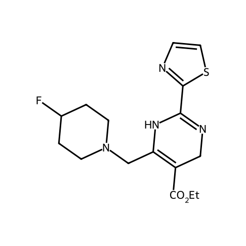 CCOC(=O)C1=C(CN2CCC(F)CC2)NC(c2nccs2)=NC1